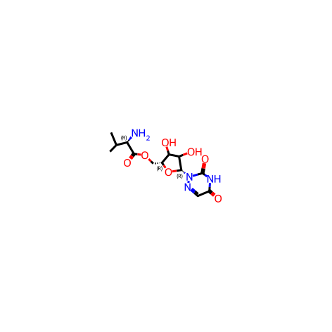 CC(C)[C@@H](N)C(=O)OC[C@H]1O[C@@H](n2ncc(=O)[nH]c2=O)C(O)C1O